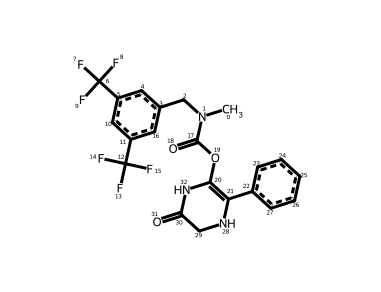 CN(Cc1cc(C(F)(F)F)cc(C(F)(F)F)c1)C(=O)OC1=C(c2ccccc2)NCC(=O)N1